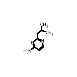 CC(C)Cc1nccc(N)n1